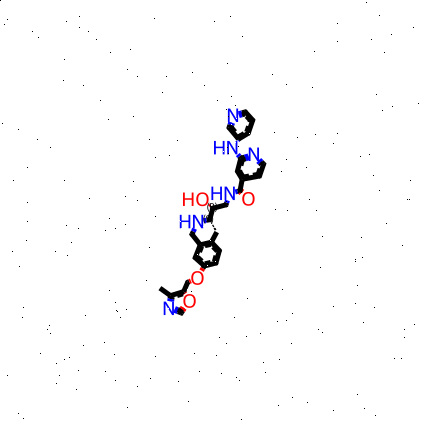 Cc1ncoc1COc1ccc2c(c1)CN[C@H]([C@H](O)CNC(=O)c1ccnc(Nc3cccnc3)c1)C2